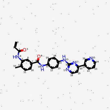 C=CC(=O)Nc1cc(C(=O)Nc2ccc(Nc3nccc(-c4cccnc4)n3)cc2)ccc1C